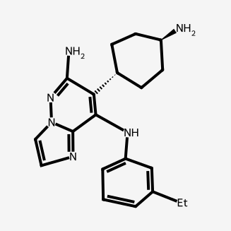 CCc1cccc(Nc2c3nccn3nc(N)c2[C@H]2CC[C@H](N)CC2)c1